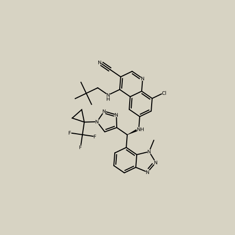 Cn1nnc2cccc([C@H](Nc3cc(Cl)c4ncc(C#N)c(NCC(C)(C)C)c4c3)c3cn(C4(C(F)(F)F)CC4)nn3)c21